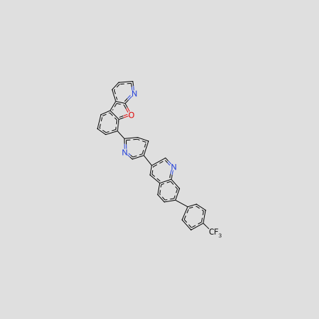 FC(F)(F)c1ccc(-c2ccc3cc(-c4ccc(-c5cccc6c5oc5ncccc56)nc4)cnc3c2)cc1